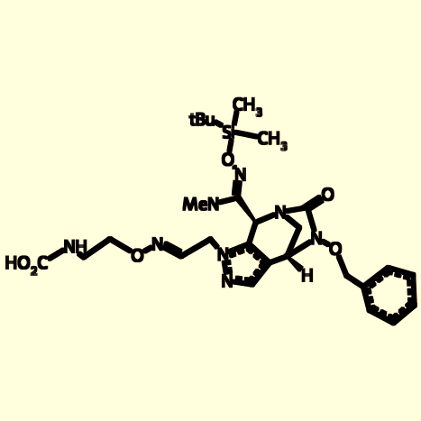 CN/C(=N\O[Si](C)(C)C(C)(C)C)[C@@H]1c2c(cnn2C/C=N/OCCNC(=O)O)[C@@H]2CN1C(=O)N2OCc1ccccc1